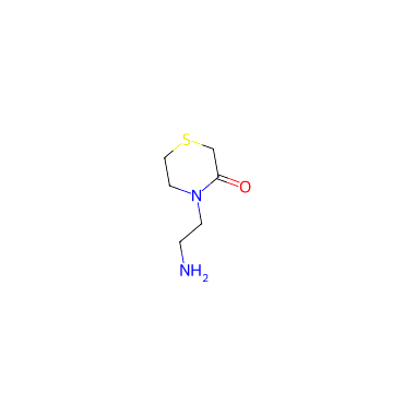 NCCN1CCSCC1=O